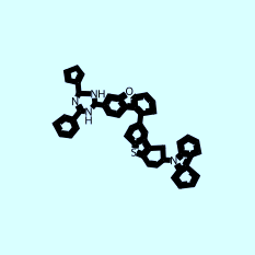 C1=CC(C2N=C(c3ccccc3)NC(c3ccc4c(c3)oc3cccc(-c5ccc6sc7c(c6c5)CC(n5c6ccccc6c6ccccc65)C=C7)c34)N2)=CC1